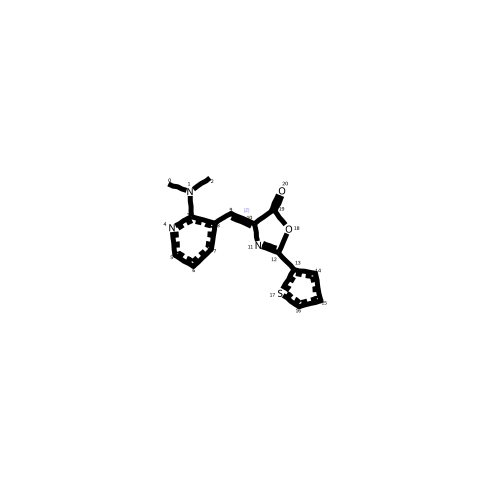 CN(C)c1ncccc1/C=C1\N=C(c2cccs2)OC1=O